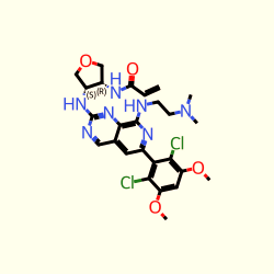 C=CC(=O)N[C@H]1COC[C@H]1Nc1ncc2cc(-c3c(Cl)c(OC)cc(OC)c3Cl)nc(NCCN(C)C)c2n1